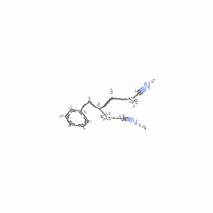 N#C[Se]CC(Cc1ccccc1)[Se]C#N